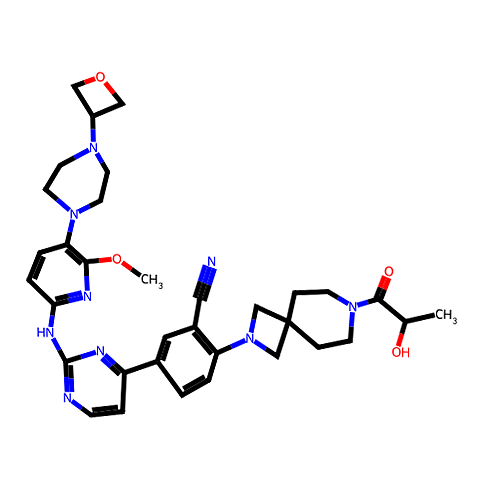 COc1nc(Nc2nccc(-c3ccc(N4CC5(CCN(C(=O)C(C)O)CC5)C4)c(C#N)c3)n2)ccc1N1CCN(C2COC2)CC1